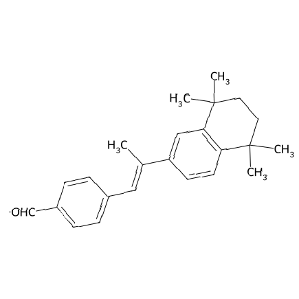 CC(=Cc1ccc([C]=O)cc1)c1ccc2c(c1)C(C)(C)CCC2(C)C